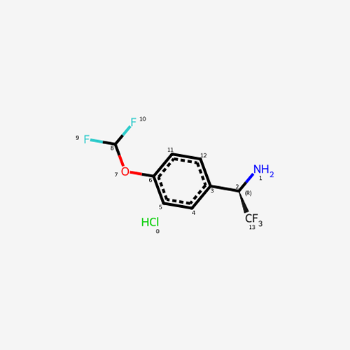 Cl.N[C@H](c1ccc(OC(F)F)cc1)C(F)(F)F